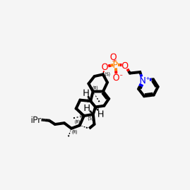 CC(C)CCC[C@@H](C)[C@H]1CC[C@H]2[C@@H]3CC=C4C[C@@H](OP(=O)([O-])OCC[n+]5ccccc5)CC[C@]4(C)[C@H]3CC[C@]12C